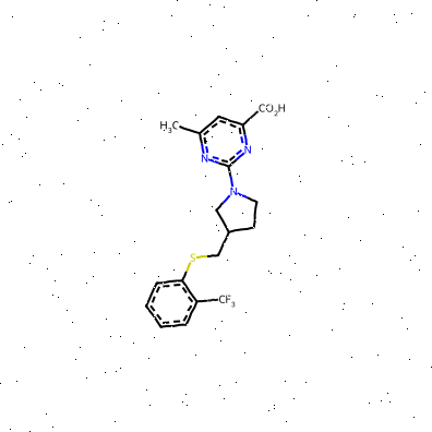 Cc1cc(C(=O)O)nc(N2CCC(CSc3ccccc3C(F)(F)F)C2)n1